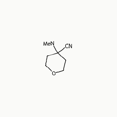 CNC1(C#N)CCOCC1